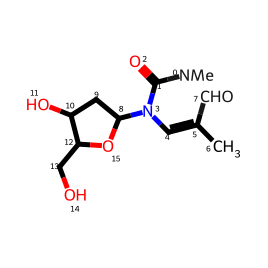 CNC(=O)N(/C=C(/C)C=O)C1CC(O)C(CO)O1